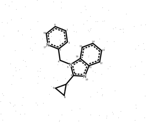 c1ccc(Cn2c(C3CC3)nc3ccccc32)nc1